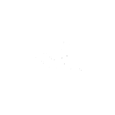 Cc1cn([C@@H]2O[C@](F)(C(O)(F)C(=O)C(C)(C)C)[C@](O)(C(=O)c3cccnc3)C2F)c(=O)[nH]c1=O